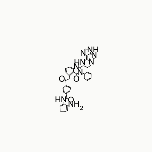 CC[C@H](Nc1ncnc2[nH]cnc12)c1nc2cccc(CC(=O)c3ccc(C(=O)Nc4ccccc4N)cc3)c2c(=O)n1-c1ccccc1